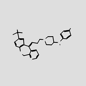 CCN(c1ccc(Cl)cc1)C1CCN(CCC=C2c3cc(C(C)(C)O)ccc3OCc3ncccc32)CC1